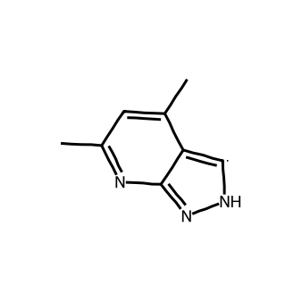 Cc1cc(C)c2[c][nH]nc2n1